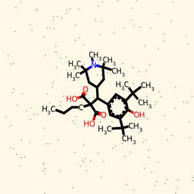 CCCCC(C(=O)O)(C(=O)O)C(c1cc(C(C)(C)C)c(O)c(C(C)(C)C)c1)C1CC(C)(C)N(C)C(C)(C)C1